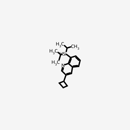 CC(C)[SiH](c1cccc2cc(C3CCC3)cnc12)C(C)C